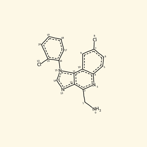 NCc1nc2ccc(Cl)cc2c2c1ncn2-c1ccccc1Cl